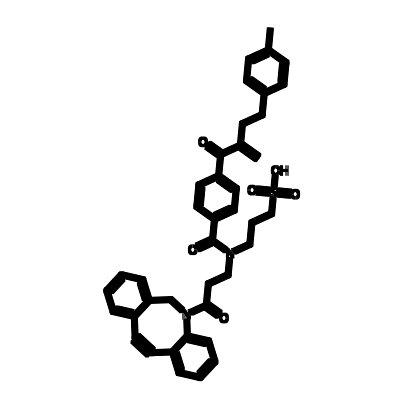 C=C(CCc1ccc(C)cc1)C(=O)c1ccc(C(=O)N(CCCS(=O)(=O)O)CCC(=O)N2Cc3ccccc3C#Cc3ccccc32)cc1